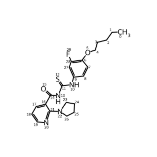 CCCCCOc1ccc(NC(=S)NC(=O)c2cccnc2N2CCCC2)cc1F